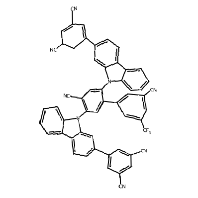 N#CC1=CC(C#N)CC(c2ccc3c4ccccc4n(-c4cc(C#N)c(-n5c6ccccc6c6ccc(-c7cc(C#N)cc(C#N)c7)cc65)cc4-c4cc(C#N)cc(C(F)(F)F)c4)c3c2)=C1